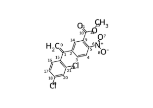 C=C(c1ccc([N+](=O)[O-])c(C(=O)OC)c1)c1ccc(Cl)cc1Cl